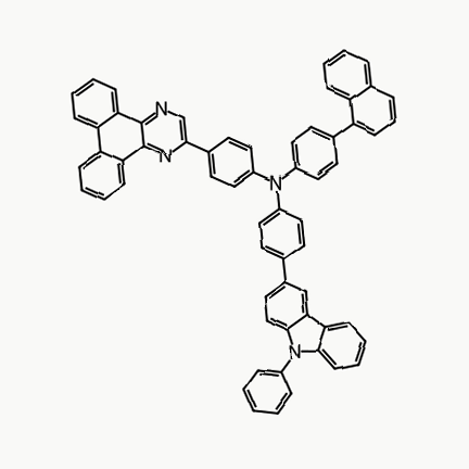 c1ccc(-n2c3ccccc3c3cc(-c4ccc(N(c5ccc(-c6cnc7c8ccccc8c8ccccc8c7n6)cc5)c5ccc(-c6cccc7ccccc67)cc5)cc4)ccc32)cc1